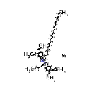 CCCCC#CC(=N\c1ccc(CCC)c(CCC)c1)/C(CCCCCCCCCCCCCCCCCCCCCCC)=N/c1ccc(CCC)c(CCC)c1.[Ni]